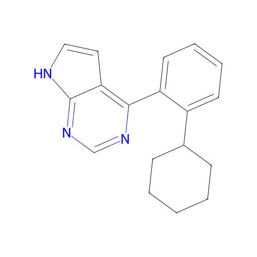 c1ccc(C2CCCCC2)c(-c2ncnc3[nH]ccc23)c1